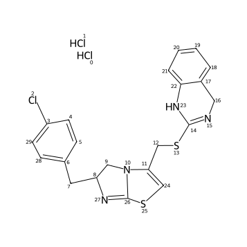 Cl.Cl.Clc1ccc(CC2CN3C(CSC4=NCc5ccccc5N4)=CSC3=N2)cc1